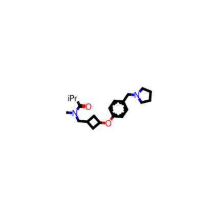 CC(C)C(=O)N(C)CC1CC(Oc2ccc(CN3CCCC3)cc2)C1